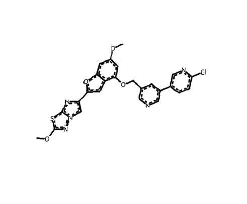 COc1cc(OCc2cncc(-c3ccc(Cl)nc3)c2)c2cc(-c3cn4nc(OC)sc4n3)oc2c1